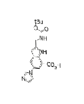 CC(C)(C)OC(=O)NCc1cc2cc(-n3ccnc3)cc(C(=O)O)c2[nH]1